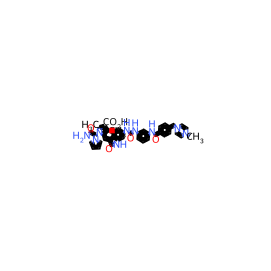 Cc1c(C(=O)O)c(C)n(C(C(N)=O)N2CCCC2)c1C=C1C(=O)Nc2cc(NC(=O)Nc3cccc(NC(=O)c4ccc(CN5CCN(C)CC5)cc4)c3)ccc21